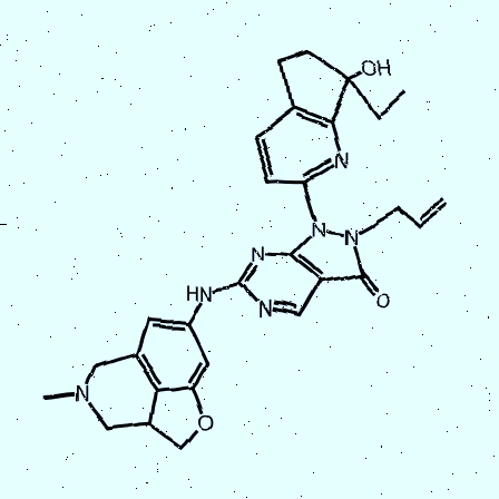 C=CCn1c(=O)c2cnc(Nc3cc4c5c(c3)OCC5CN(C)C4)nc2n1-c1ccc2c(n1)C(O)(CC)CC2